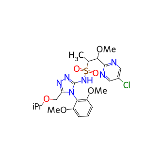 COc1cccc(OC)c1-n1c(COC(C)C)nnc1NS(=O)(=O)C(C)C(OC)c1ncc(Cl)cn1